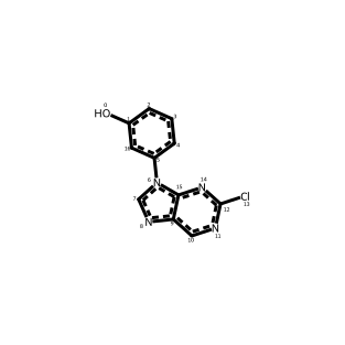 Oc1cccc(-n2cnc3cnc(Cl)nc32)c1